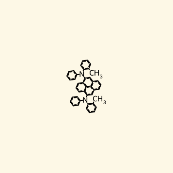 Cc1ccccc1N(c1ccccc1)c1cc2cccc3cc(N(c4ccccc4)c4ccccc4C)c4cccc1c4c23